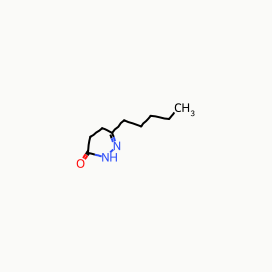 CCCCCC1=NNC(=O)CC1